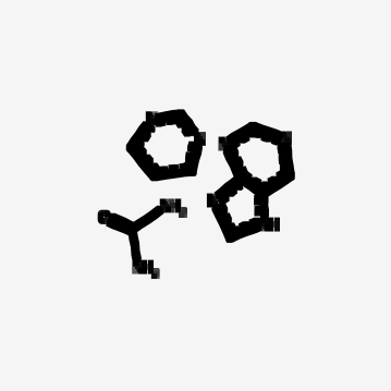 NC(N)=O.c1cncnc1.c1ncc2[nH]cnc2n1